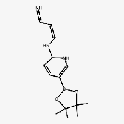 CC1(C)OB(C2=CNC(N/C=C\C=N)C=C2)OC1(C)C